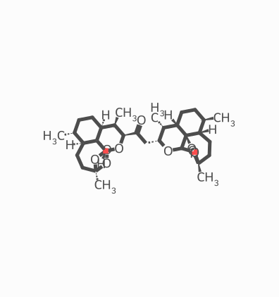 C[C@H]1[C@@H](C(=O)C[C@H]2O[C@@H]3O[C@]4(C)CC[C@H]5[C@H](C)CC[C@@H]([C@H]2C)[C@@]35OO4)O[C@@H]2O[C@]3(C)CC[C@H]4[C@H](C)CC[C@@H]1[C@@]24OO3